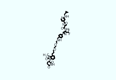 Cn1c(=O)n(C2CCC(=O)NC2=O)c2cccc(CCCOCCOCCNCc3ccc(-n4cc(NC(=O)c5coc(-c6ccnc(NCC7CC7)c6)n5)c(C(F)F)n4)cc3)c21